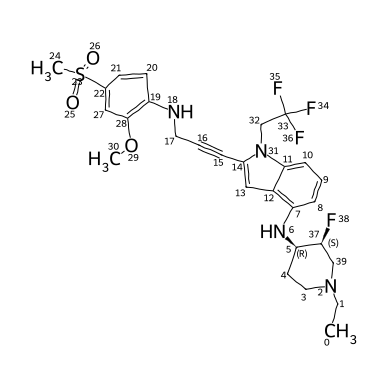 CCN1CC[C@@H](Nc2cccc3c2cc(C#CCNc2ccc(S(C)(=O)=O)cc2OC)n3CC(F)(F)F)[C@@H](F)C1